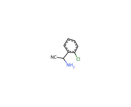 N#CC(N)c1ccccc1Cl